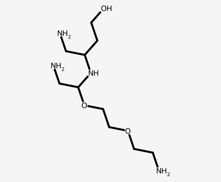 NCCOCCOC(CN)NC(CN)CCO